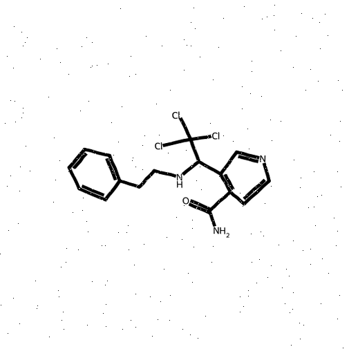 NC(=O)c1ccncc1C(NCCc1ccccc1)C(Cl)(Cl)Cl